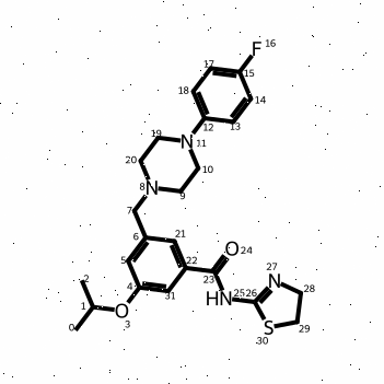 CC(C)Oc1cc(CN2CCN(c3ccc(F)cc3)CC2)cc(C(=O)NC2=NCCS2)c1